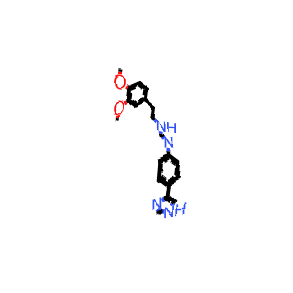 COc1ccc(CCNC=Nc2ccc(-c3c[nH]cn3)cc2)cc1OC